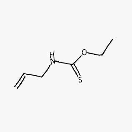 [CH2]COC(=S)NCC=C